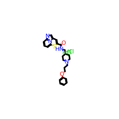 Cl.Cl.O=C(NCC1CCN(CCCOc2ccccc2)CC1)C1=Cc2cnc3cccc(n23)S1